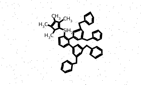 CC1=C(C)C(C)C([SiH2]c2cccc(-c3cc(Cc4ccccc4)cc(Cc4ccccc4)c3)c2-c2cc(Cc3ccccc3)cc(Cc3ccccc3)c2)=C1C